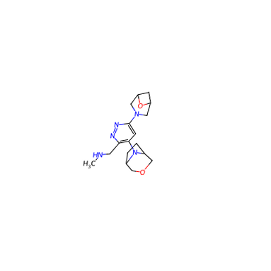 CNCc1nnc(N2CC3CC(C2)O3)cc1N1C2CCC1COC2